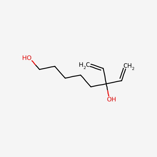 C=CC(O)(C=C)CCCCCO